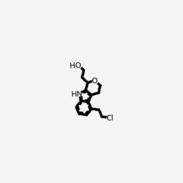 OCCC1OCCc2c1[nH]c1cccc(CCCl)c21